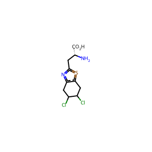 N[C@H](Cc1nc2c(s1)CC(Cl)C(Cl)C2)C(=O)O